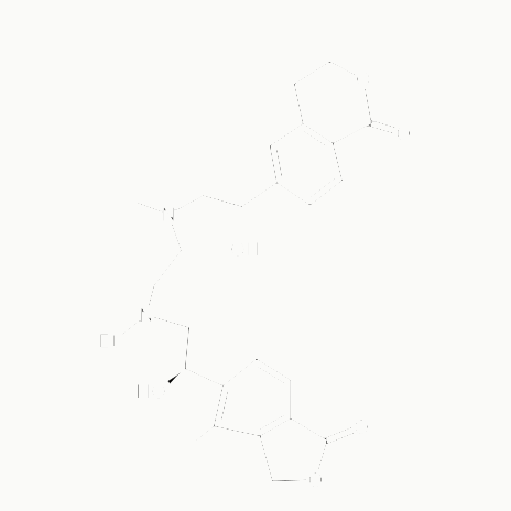 CCN(CCN(C)C[C@@H](O)c1ccc2c(c1)C[C@H](C)OC2=O)C[C@H](O)c1ccc2c(c1C)COC2=O